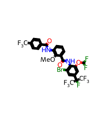 COc1c(NC(=O)c2ccc(C(F)(F)F)cc2)cccc1C(=O)Nc1c(Br)cc(C(F)(C(F)(F)F)C(F)(F)F)cc1OC(F)F